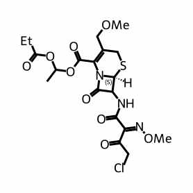 CCC(=O)OC(C)OC(=O)C1=C(COC)CS[C@H]2C(NC(=O)C(=NOC)C(=O)CCl)C(=O)N12